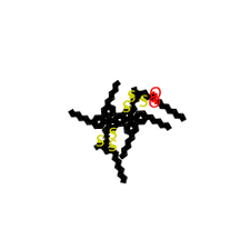 CCCCCCCCOC(=O)c1cc2c(C)sc(-c3cc4c(s3)-c3cc5c(cc3C4(c3ccc(CCCCCC)cc3)c3ccc(CCCCCC)cc3)-c3sc(-c4sc(C)c6cc(CCCCCCCC)sc46)cc3C5(c3ccc(CCCCCC)cc3)c3ccc(CCCCCC)cc3)c2s1